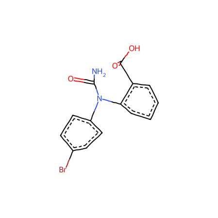 NC(=O)N(c1ccc(Br)cc1)c1ccccc1C(=O)O